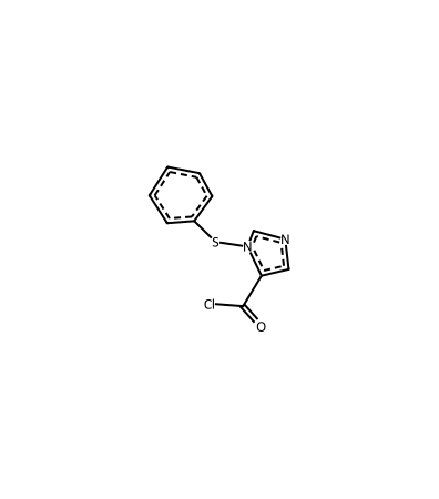 O=C(Cl)c1cncn1Sc1ccccc1